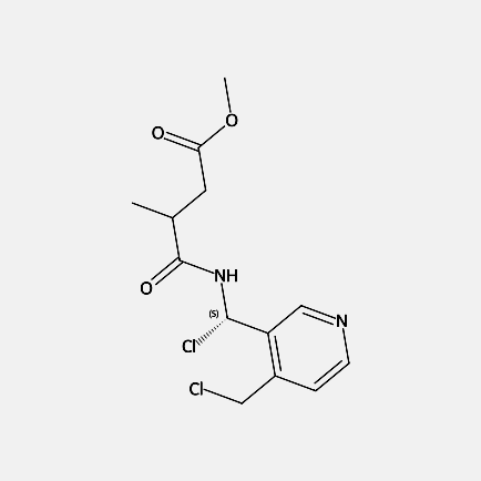 COC(=O)CC(C)C(=O)N[C@@H](Cl)c1cnccc1CCl